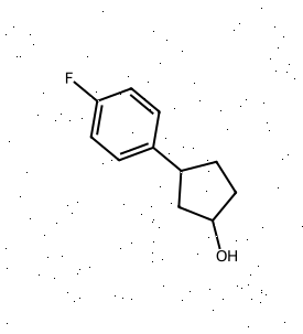 OC1CCC(c2ccc(F)cc2)C1